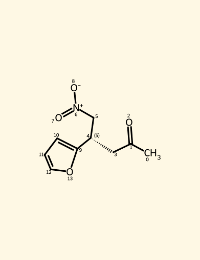 CC(=O)C[C@@H](C[N+](=O)[O-])c1ccco1